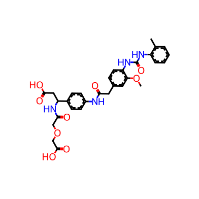 COc1cc(CC(=O)Nc2ccc(C(CC(=O)O)NC(=O)COCC(=O)O)cc2)ccc1NC(=O)Nc1ccccc1C